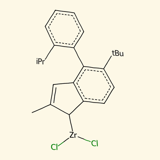 CC1=Cc2c(ccc(C(C)(C)C)c2-c2ccccc2C(C)C)[CH]1[Zr]([Cl])[Cl]